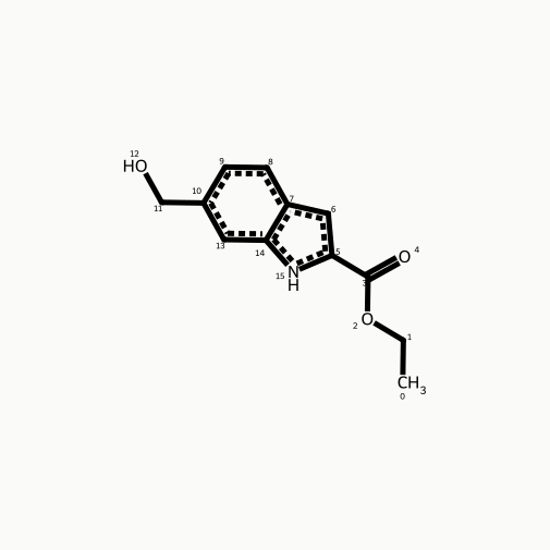 CCOC(=O)c1cc2ccc(CO)cc2[nH]1